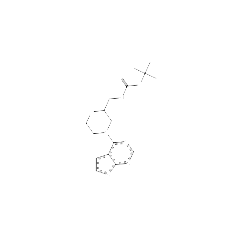 CC(C)(C)OC(=O)NCC1CN(c2ncnc3[nH]ccc23)CCO1